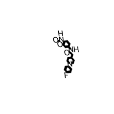 O=C(CC1CCN(c2ccc(F)cc2)CC1)Nc1ccc2[nH]c(=O)oc2c1